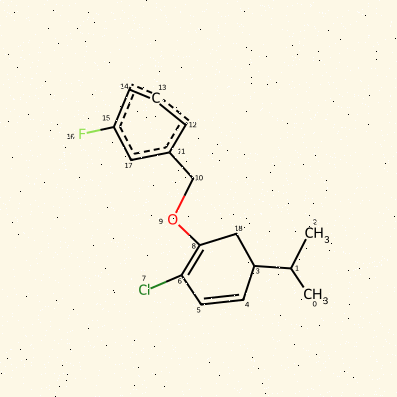 CC(C)C1C=CC(Cl)=C(OCc2cccc(F)c2)C1